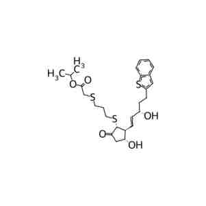 CC(C)OC(=O)CSCCCS[C@H]1C(=O)C[C@@H](O)[C@@H]1C=C[C@@H](O)CCc1cc2ccccc2s1